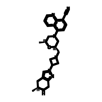 C[C@@H]1Cc2cn(C3CN(C[C@H]4CN(c5ccc(C#N)c6ncccc56)C[C@@H](C)O4)C3)nc2CN1